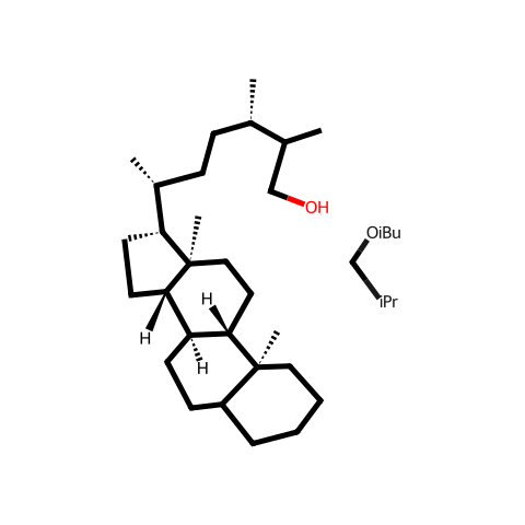 CC(C)COCC(C)C.CC(CO)[C@@H](C)CC[C@@H](C)[C@H]1CC[C@H]2[C@@H]3CCC4CCCC[C@]4(C)[C@H]3CC[C@]12C